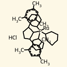 Cc1cc(C)c(C2CCC(c3c(C)cc(C)cc3C)C2[P]([Ru])(C2CCCCC2)(C2CCCCC2)C2CCCCC2)c(C)c1.Cl